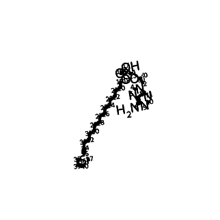 C[C@H](Cn1cnc2c(N)ncnc21)OCP(=O)(O)OCCCCCCCCCCCCCCCC#C[Si]1(C)CCC1